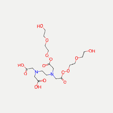 O=C(O)CN(CCN(CC(=O)OOCCOCCO)CC(=O)OOCCOCCO)CC(=O)O